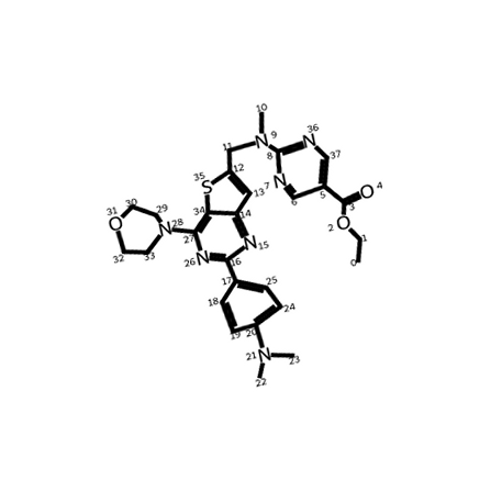 CCOC(=O)c1cnc(N(C)Cc2cc3nc(-c4ccc(N(C)C)cc4)nc(N4CCOCC4)c3s2)nc1